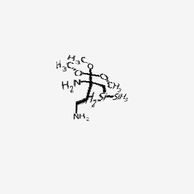 COC(OC)(OC)C(N)(CCN)C[SiH2][SiH3]